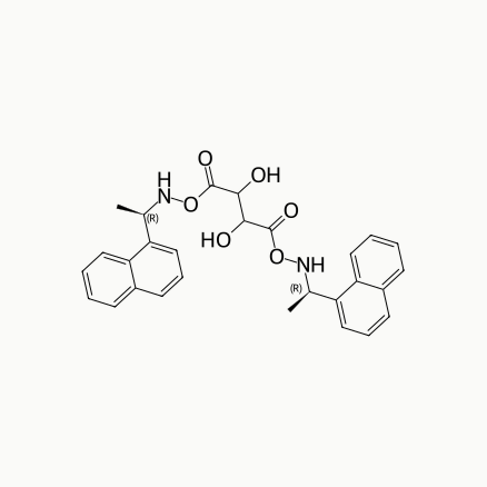 C[C@@H](NOC(=O)C(O)C(O)C(=O)ON[C@H](C)c1cccc2ccccc12)c1cccc2ccccc12